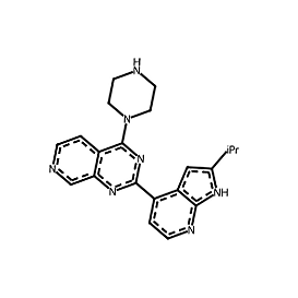 CC(C)c1cc2c(-c3nc(N4CCNCC4)c4ccncc4n3)ccnc2[nH]1